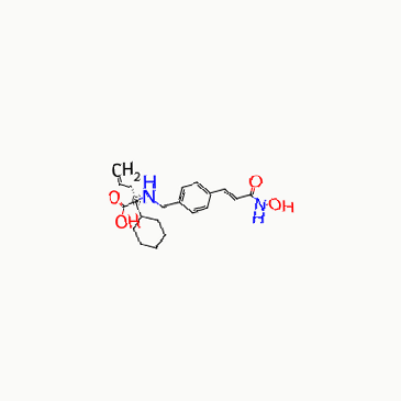 C=CC[C@@](NCc1ccc(C=CC(=O)NO)cc1)(C(=O)O)C1CCCCC1